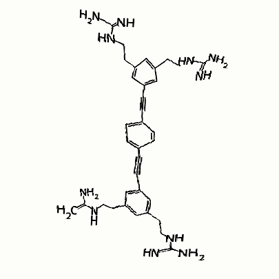 C=C(N)NCCc1cc(C#Cc2ccc(C#Cc3cc(CCNC(=N)N)cc(CCNC(=N)N)c3)cc2)cc(CCNC(=N)N)c1